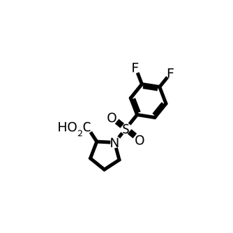 O=C(O)C1CCCN1S(=O)(=O)c1ccc(F)c(F)c1